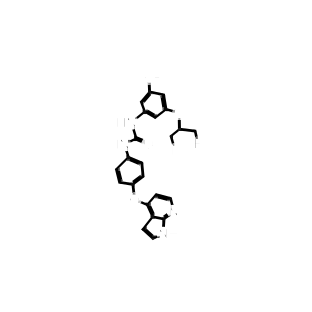 O=C(Nc1ccc(Oc2ccnc3[nH]ccc23)cc1)Nc1cc(OC(CF)CF)cc(C(F)(F)F)c1